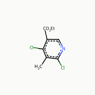 CCOC(=O)c1cnc(Cl)c(C)c1Cl